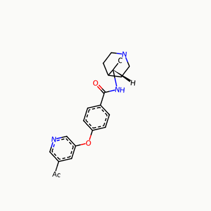 CC(=O)c1cncc(Oc2ccc(C(=O)N[C@H]3CN4CCC3CC4)cc2)c1